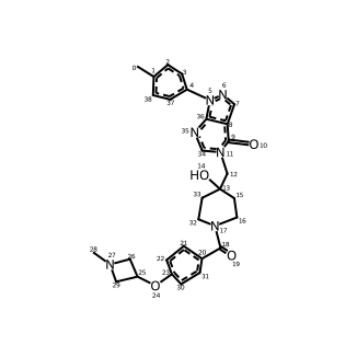 Cc1ccc(-n2ncc3c(=O)n(CC4(O)CCN(C(=O)c5ccc(OC6CN(C)C6)cc5)CC4)cnc32)cc1